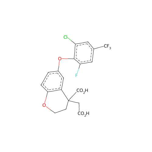 O=C(O)CC1(C(=O)O)CCOc2ccc(Oc3c(F)cc(C(F)(F)F)cc3Cl)cc21